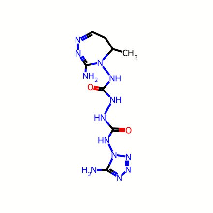 CC1CC=NN=C(N)N1NC(=O)NNC(=O)Nn1nnnc1N